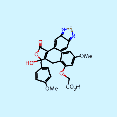 COc1ccc(C2(O)OC(=O)C(c3ccc4nsnc4c3)=C2Cc2ccc(OC)cc2OCC(=O)O)cc1